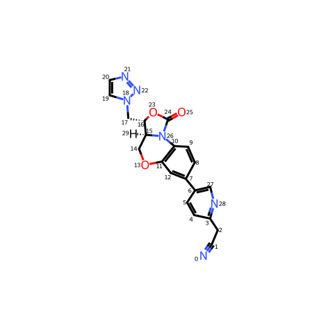 N#CCc1ccc(-c2ccc3c(c2)OC[C@H]2[C@H](Cn4ccnn4)OC(=O)N32)cn1